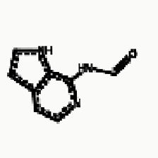 O=CNc1nccc2cc[nH]c12